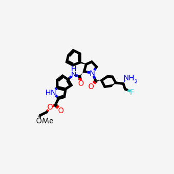 COCCOC(=O)c1cc2cc(NC(=O)[C@@H]3[C@@H](c4ccccc4)CCN3C(=O)[C@H]3CC[C@H]([C@H](N)CF)CC3)ccc2[nH]1